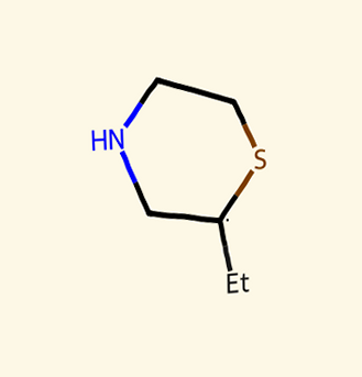 CC[C]1CNCCS1